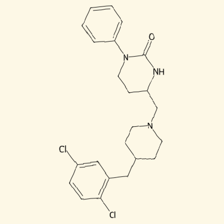 O=C1NC(CN2CCC(Cc3cc(Cl)ccc3Cl)CC2)CCN1c1ccccc1